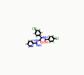 N=C(NC(=O)C(NC(O)c1ccc(Cl)cc1)c1ccc(Cl)cc1)c1ccccn1